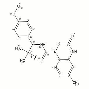 Cc1cnc2c(c1)NC(=O)CN2C(=O)N[C@H](c1ccc(OC(F)(F)F)cc1)C(C)(C)O